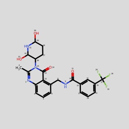 Cc1nc2cccc(CNC(=O)c3cccc(C(F)(F)F)c3)c2c(=O)n1C1CCC(O)NC1O